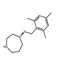 Cc1cc(C)c(CS[C@H]2CCCNCC2)c(C)c1